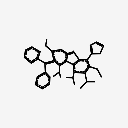 CCc1c(C2=CC=CC2)c2c(c(C(C)C)c1C(C)C)-c1c(C(C)C)c(=C(c3ccccc3)c3ccccc3)c(CC)cc1=[C]2